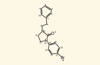 O=C1N(CCc2ccccc2)CCN1c1ccc(Br)cc1